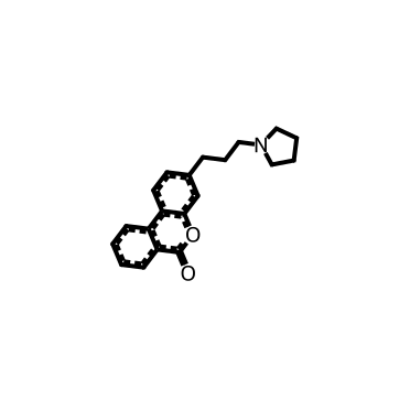 O=c1oc2cc(CCCN3CCCC3)ccc2c2ccccc12